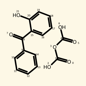 O=C(O)OC(=O)O.O=C(c1ccccc1)c1ccccc1O